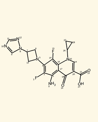 Nc1c(F)c(N2CC(n3cncn3)C2)c(F)c2c1c(=O)c(C(=O)O)cn2C1CC1